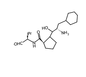 CC(C)[C@H]([C]=O)NC(=O)[C@@H]1CCCC1C(O)[C@@H](N)CC1CCCCC1